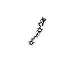 FC(F)(F)Oc1ccc(-c2ccc(OCCCCCC3CCCC3)cc2)cc1